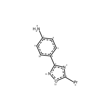 CC(C)c1nc(-c2ccc(N)cc2)no1